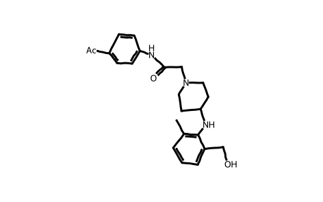 CC(=O)c1ccc(NC(=O)CN2CCC(Nc3c(C)cccc3CO)CC2)cc1